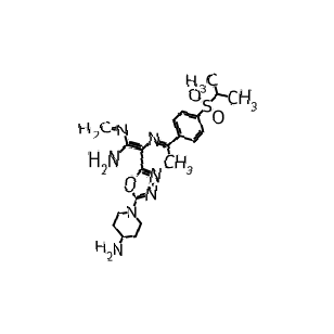 C=N/C(N)=C(\N=C(/C)c1ccc(S(=O)(=O)C(C)C)cc1)c1nnc(N2CCC(N)CC2)o1